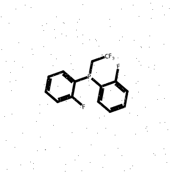 Fc1ccccc1P(CC(F)(F)F)c1ccccc1F